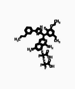 CCCc1cccc(-c2c[nH]c(C(c3cc4cc(N)ccc4c(N)n3)c3cc(CC)cc(OCC)c3F)n2)c1.O=C(O)C(F)(F)F.O=C(O)C(F)(F)F